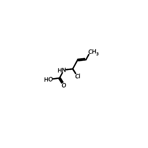 C/C=C/C(Cl)NC(=O)O